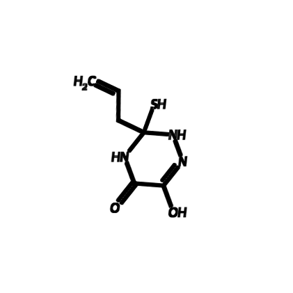 C=CCC1(S)NN=C(O)C(=O)N1